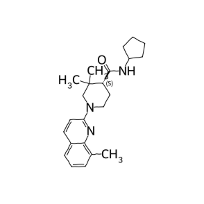 Cc1cccc2ccc(N3CC[C@H](C(=O)NC4CCCC4)C(C)(C)C3)nc12